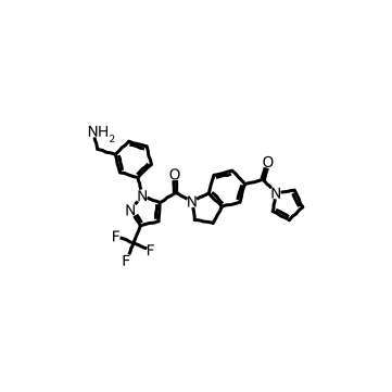 NCc1cccc(-n2nc(C(F)(F)F)cc2C(=O)N2CCc3cc(C(=O)n4cccc4)ccc32)c1